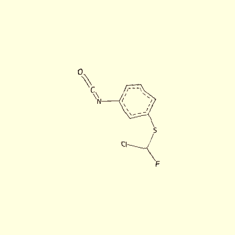 O=C=Nc1cccc(SC(F)Cl)c1